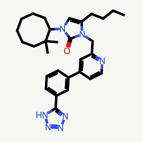 CCCCc1cn(C2CCCCCCC2(C)C)c(=O)n1Cc1cc(-c2cccc(-c3nnn[nH]3)c2)ccn1